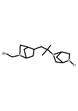 CCN1CC2CC1CN2C(C)(C)CC1CC2CC1CN2CC(C)(C)C